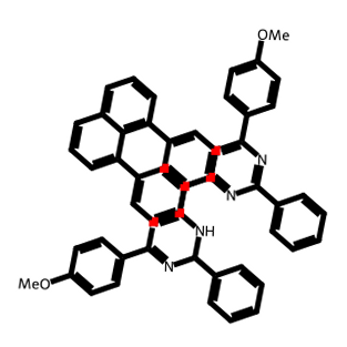 COc1ccc(C2=NC(c3ccccc3)NC(c3cccc(-c4cccc5cccc(-c6cccc(-c7nc(-c8ccccc8)nc(-c8ccc(OC)cc8)n7)c6)c45)c3)=N2)cc1